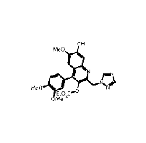 CCOC(=O)Oc1c(Cn2cncn2)nc2cc(O)c(OC)cc2c1-c1ccc(OC)c(OC)c1